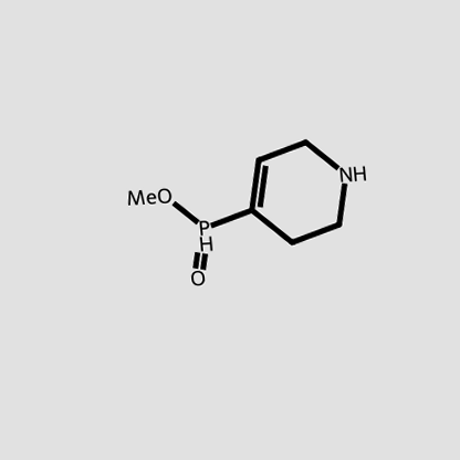 CO[PH](=O)C1=CCNCC1